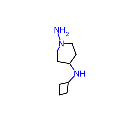 NN1CCC(NC2CCC2)CC1